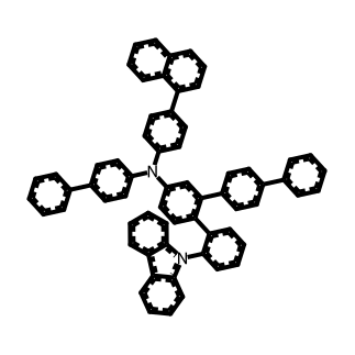 c1ccc(-c2ccc(-c3cc(N(c4ccc(-c5ccccc5)cc4)c4ccc(-c5cccc6ccccc56)cc4)ccc3-c3ccccc3-n3c4ccccc4c4ccccc43)cc2)cc1